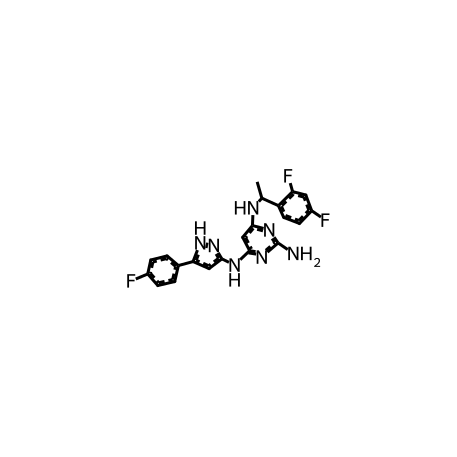 CC(Nc1cc(Nc2cc(-c3ccc(F)cc3)[nH]n2)nc(N)n1)c1ccc(F)cc1F